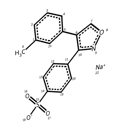 Cc1cccc(-c2conc2-c2ccc(S(=O)(=O)[O-])cc2)c1.[Na+]